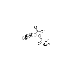 O=C([O-])[O-].O=C([O-])[O-].[Ba+2].[Ba+2].[Ba+2].[Cl-].[Cl-]